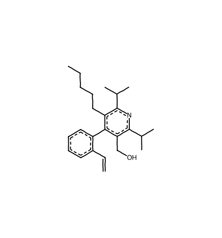 C=Cc1ccccc1-c1c(CO)c(C(C)C)nc(C(C)C)c1CCCCC